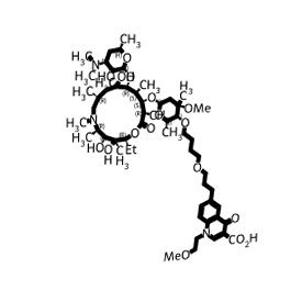 CC[C@H]1OC(=O)[C@H](C)[C@@H](O[C@H]2C[C@@](C)(OC)[C@@H](OCCCCOCCCc3ccc4c(c3)c(=O)c(C(=O)O)cn4CCOC)[C@H](C)O2)[C@H](C)[C@@H](O[C@@H]2O[C@H](C)C[C@H](N(C)C)[C@H]2O)[C@](C)(O)C[C@@H](C)CN(C)[C@H](C)[C@@H](O)[C@]1(C)O